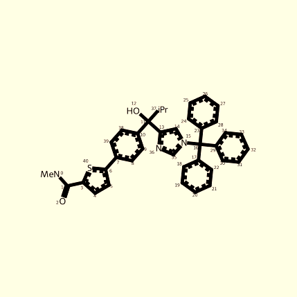 CNC(=O)c1ccc(-c2ccc(C(O)(c3cn(C(c4ccccc4)(c4ccccc4)c4ccccc4)cn3)C(C)C)cc2)s1